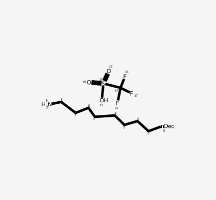 CCCCCCCCCCCCCCCCCCN.O=S(=O)(O)C(F)(F)F